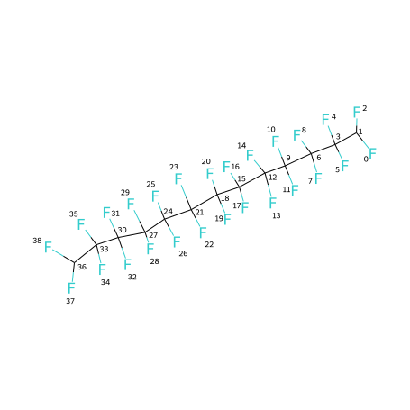 FC(F)C(F)(F)C(F)(F)C(F)(F)C(F)(F)C(F)(F)C(F)(F)C(F)(F)C(F)(F)C(F)(F)C(F)(F)C(F)(F)C(F)F